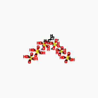 CC.O=S(=O)(O)O.O=S(=O)(O)O.O=S(=O)(O)O.O=S(=O)(O)O.O=S(=O)(O)O.O=S(=O)(O)O